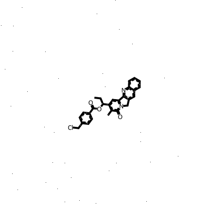 CCC(OC(=O)c1ccc(CCl)cc1)c1cc2n(c(=O)c1C)Cc1cc3ccccc3nc1-2